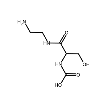 NCCNC(=O)C(CO)NC(=O)O